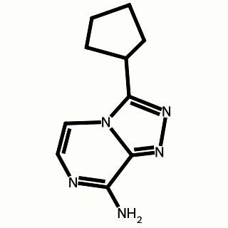 Nc1nccn2c(C3CCCC3)nnc12